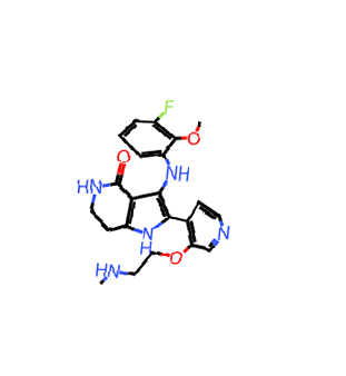 CNCCOc1cnccc1-c1[nH]c2c(c1Nc1cccc(F)c1OC)C(=O)NCC2